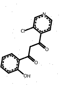 O=C(CC(=O)c1ccncc1Cl)c1ccccc1O